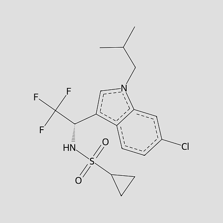 CC(C)Cn1cc([C@H](NS(=O)(=O)C2CC2)C(F)(F)F)c2ccc(Cl)cc21